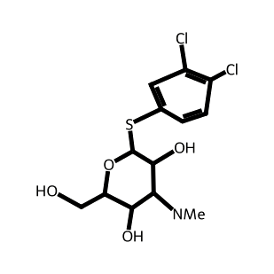 CNC1C(O)C(CO)OC(Sc2ccc(Cl)c(Cl)c2)C1O